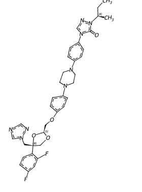 CC[C@@H](C)n1ncn(-c2ccc(N3CCN(c4ccc(OC[C@H]5OC[C@](Cn6cncn6)(c6ccc(F)cc6F)O5)cc4)CC3)cc2)c1=O